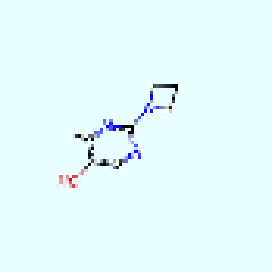 Cc1nc(N2CCC2)ncc1O